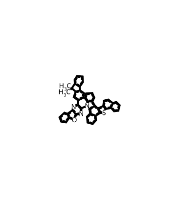 CC1(C)c2ccccc2-c2ccc(-c3nc4c(nc3-n3c5ccccc5c5c6c7ccc8ccccc8c7sc6c6ccccc6c53)oc3ccccc34)cc21